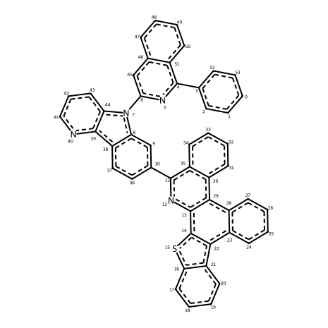 c1ccc(-c2nc(-n3c4cc(-c5nc6c7sc8ccccc8c7c7ccccc7c6c6ccccc56)ccc4c4ncccc43)cc3ccccc23)cc1